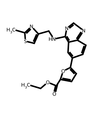 CCOC(=O)c1ccc(-c2ccc3ncnc(NCc4csc(C)n4)c3c2)o1